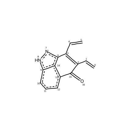 C=CC1=C(C=C)c2n[nH]c3cccc(c23)C1=O